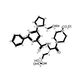 CCOC(=O)N1CCN(C(=O)[C@H](CCC(=O)O)NC(=O)c2cc(N3CCC[C@@H]3COC)nc(-c3ccccc3)n2)CC1.O=CO